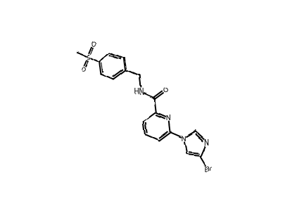 CS(=O)(=O)c1ccc(CNC(=O)c2cccc(-n3cnc(Br)c3)n2)cc1